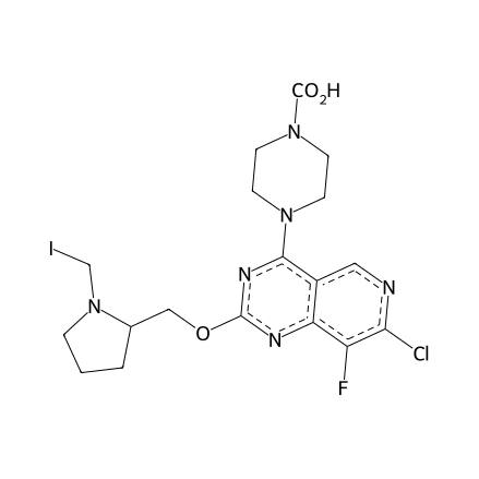 O=C(O)N1CCN(c2nc(OCC3CCCN3CI)nc3c(F)c(Cl)ncc23)CC1